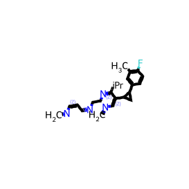 C=N/C=C\C=N/CC/N=C(\C(=C/N=C)C1CC1c1ccc(F)c(C)c1)C(C)C